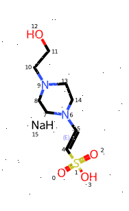 O=S(=O)(O)/C=C/N1CCN(CCO)CC1.[NaH]